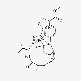 COC(=O)[C@@H]1COC(c2nc3oc2C24c5ccccc5N[C@H]2Oc2ccc(cc24)C[C@H](C)C(=O)N[C@H]3C(C)C)=N1